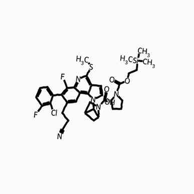 CSc1nc2c(F)c(-c3cccc(F)c3Cl)c(CCC#N)cc2c2c1cc([C@H]1CCCN1C(=O)OCC[Si](C)(C)C)n2C1C2CC1N(C(=O)O)C2